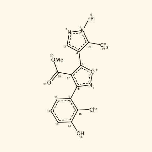 CCCn1ncc(-c2onc(-c3cccc(O)c3Cl)c2C(=O)OC)c1C(F)(F)F